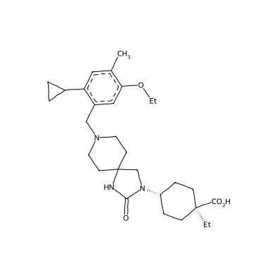 CCOc1cc(CN2CCC3(CC2)CN([C@H]2CC[C@](CC)(C(=O)O)CC2)C(=O)N3)c(C2CC2)cc1C